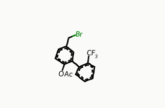 CC(=O)Oc1ccc(CBr)cc1-c1ccccc1C(F)(F)F